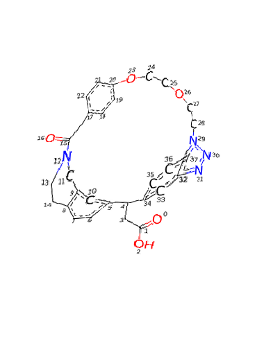 O=C(O)CC1c2ccc3c(c2)CN(CC3)C(=O)c2ccc(cc2)OCCOCCn2nnc3cc1ccc32